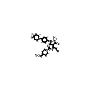 N#CCC1CCN(c2nc(C=N)c(C(N)=O)c(Nc3ccc(N4CCC(F)(F)CC4)cc3)n2)CC1